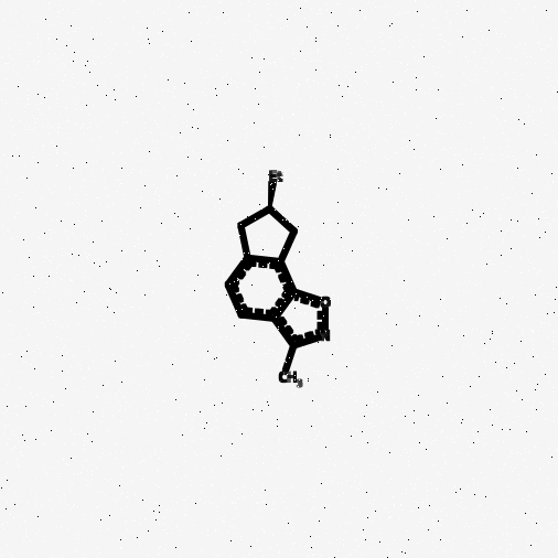 CC[C@@H]1Cc2ccc3c(C)noc3c2C1